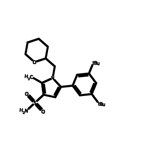 Cc1c(S(N)(=O)=O)cc(-c2cc(C(C)(C)C)cc(C(C)(C)C)c2)n1CC1CCCCO1